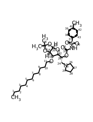 CCCCCCCCCCCCO[C@@H]1[C@H]2OC(C)(C)O[C@H]2O[C@@H]1[C@@H](CN1CCCC1)OC(=O)NS(=O)(=O)c1ccc(C)cc1